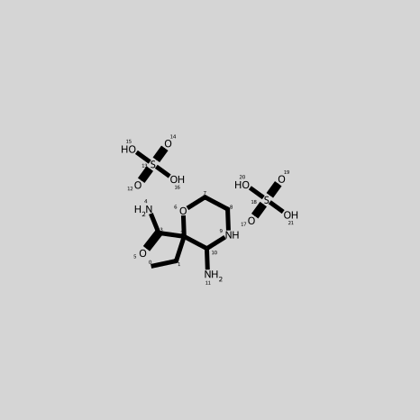 CCC1(C(N)=O)OCCNC1N.O=S(=O)(O)O.O=S(=O)(O)O